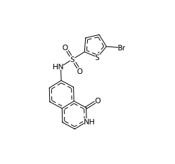 O=c1[nH]ccc2ccc(NS(=O)(=O)c3ccc(Br)s3)cc12